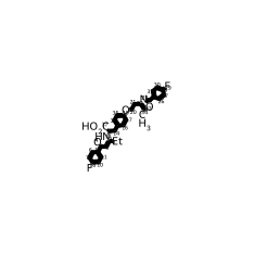 CC/C(=C/C(=O)c1ccc(F)cc1)N[C@@H](Cc1ccc(OCCc2nc(-c3ccc(F)cc3)oc2C)cc1)C(=O)O